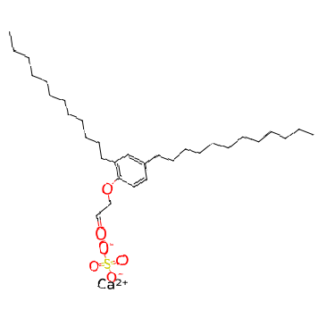 CCCCCCCCCCCCc1ccc(OCC=O)c(CCCCCCCCCCCC)c1.O=S(=O)([O-])[O-].[Ca+2]